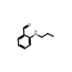 CCC[AsH]c1ccccc1C=O